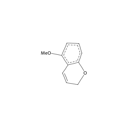 COc1cccc2c1C=CCO2